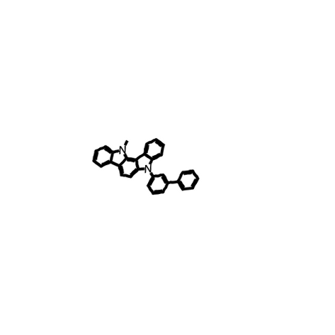 Cn1c2ccccc2c2ccc3c(c4ccccc4n3-c3cccc(-c4ccccc4)c3)c21